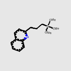 CO[Si](CCCc1ccc2ccccc2n1)(OC)OC